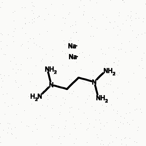 NN(N)CCN(N)N.[Na].[Na]